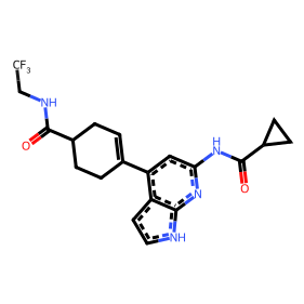 O=C(NCC(F)(F)F)C1CC=C(c2cc(NC(=O)C3CC3)nc3[nH]ccc23)CC1